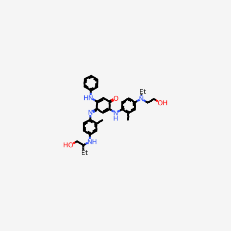 CCC(CO)Nc1ccc(N=C2C=C(Nc3ccc(N(CC)CCO)cc3C)C(=O)C=C2Nc2ccccc2)c(C)c1